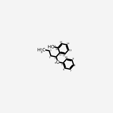 CCCC(Oc1ccccc1)c1ccccc1O